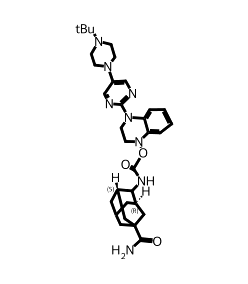 CC(C)(C)N1CCN(c2cnc(N3CCN(OC(=O)NC4[C@@H]5CC6C[C@H]4CC(C(N)=O)(C6)C5)c4ccccc43)nc2)CC1